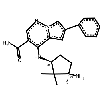 CC1(C)[C@@H](Nc2c(C(N)=O)cnn3cc(-c4ccccc4)cc23)CC[C@@]1(C)N